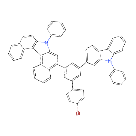 Brc1ccc(-c2cc(-c3ccc4c5ccccc5n(-c5ccccc5)c4c3)cc(-c3cc4c(c5ccccc35)c3c5ccccc5ccc3n4-c3ccccc3)c2)cc1